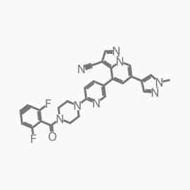 Cn1cc(-c2cc(-c3ccc(N4CCN(C(=O)c5c(F)c#ccc5F)CC4)nc3)c3c(C#N)cnn3c2)cn1